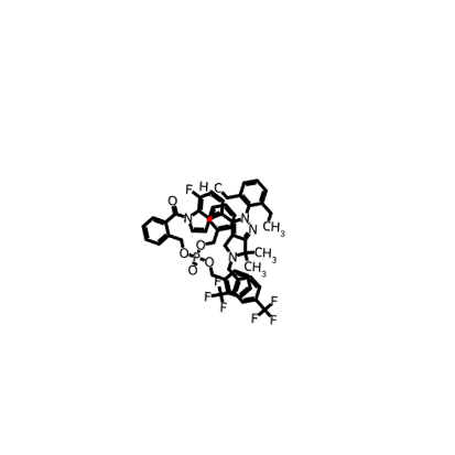 CCc1cccc(CC)c1-n1nc2c(c1-c1ccc(F)c3c1ccn3C(=O)c1ccccc1COP(=O)(OCc1ccccc1)OCc1ccccc1)CN(Cc1ccc(C(F)(F)F)cc1C(F)(F)F)C2(C)C